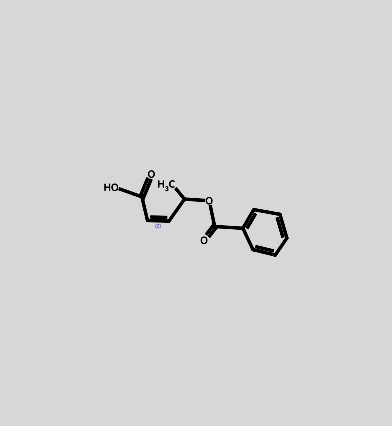 CC(/C=C\C(=O)O)OC(=O)c1ccccc1